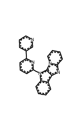 c1cncc(-c2cccc(-n3c4ccccc4c4nc5ccccn5c43)n2)c1